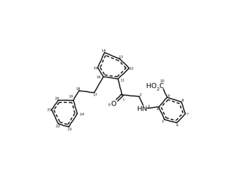 O=C(CNc1ccccc1C(=O)O)c1ccccc1CCc1ccccc1